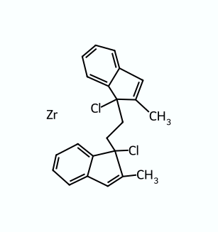 CC1=Cc2ccccc2C1(Cl)CCC1(Cl)C(C)=Cc2ccccc21.[Zr]